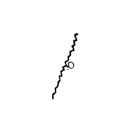 CCCCCCCCCCCCC([C]=O)CCCCCCCCCCCC